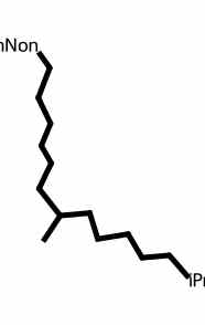 CCCCCCCCCCCCCCCC(C)CCCCCC(C)C